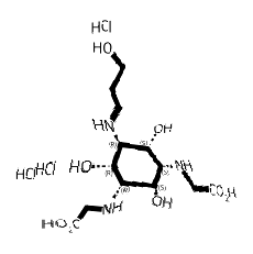 Cl.Cl.Cl.O=C(O)CN[C@@H]1[C@H](O)[C@H](NCC(=O)O)[C@H](O)[C@H](NCCCO)[C@@H]1O